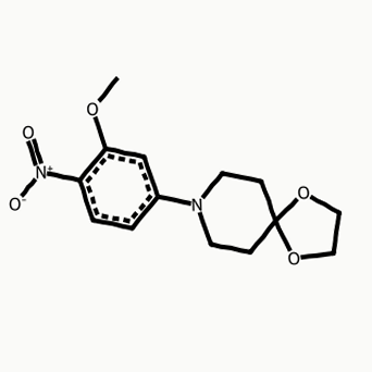 COc1cc(N2CCC3(CC2)OCCO3)ccc1[N+](=O)[O-]